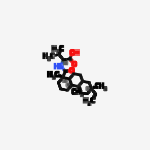 C=C[C@]1(C)CC=C2C(CCC3[C@@](C)(C(=O)N[C@H](C(=O)O)C(C)C)CCC[C@]23C)C1